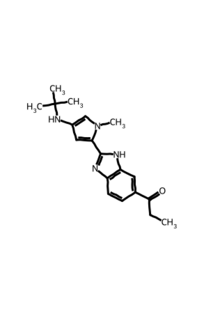 CCC(=O)c1ccc2nc(-c3cc(NC(C)(C)C)cn3C)[nH]c2c1